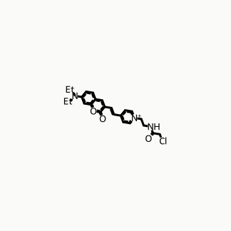 CCN(CC)c1ccc2cc(/C=C/c3cc[n+](CCNC(=O)CCl)cc3)c(=O)oc2c1